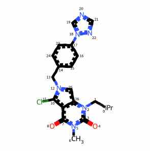 CC(C)Cn1c(=O)n(C)c(=O)c2c(Cl)n(Cc3ccc(-n4cncn4)cc3)cc21